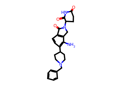 Nc1c(C2CCN(Cc3ccccc3)CC2)ccc2c1CN(C1CCC(=O)NC1=O)C2=O